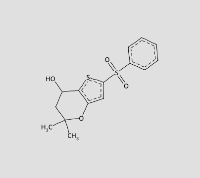 CC1(C)CC(O)c2sc(S(=O)(=O)c3ccccc3)cc2O1